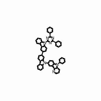 c1ccc(-c2nc(-c3ccccc3)nc(-n3c4ccccc4c4cc(-c5ccc6c7ccccc7n(-c7ccc8c(c7)c7ncccc7n8-c7ccccc7)c6c5)ccc43)n2)cc1